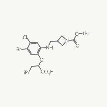 CC(C)CC(Oc1cc(Br)c(Cl)cc1NCC1CN(C(=O)OC(C)(C)C)C1)C(=O)O